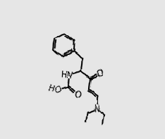 CCN(/C=C/C(=O)C(Cc1ccccc1)NC(=O)O)CC